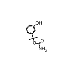 CC(C)(OC(N)=O)c1cccc(O)c1